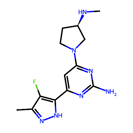 CN[C@@H]1CCN(c2cc(-c3[nH]nc(C)c3F)nc(N)n2)C1